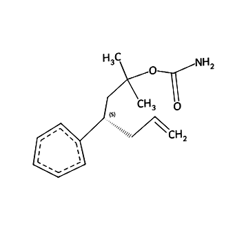 C=CC[C@@H](CC(C)(C)OC(N)=O)c1ccccc1